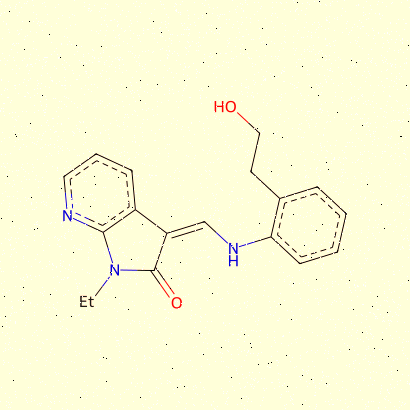 CCN1C(=O)C(=CNc2ccccc2CCO)c2cccnc21